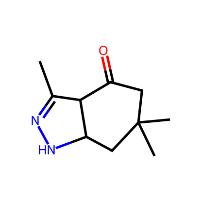 CC1=NNC2CC(C)(C)CC(=O)C12